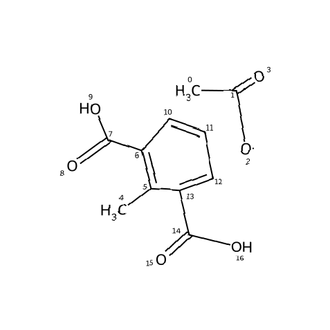 CC([O])=O.Cc1c(C(=O)O)cccc1C(=O)O